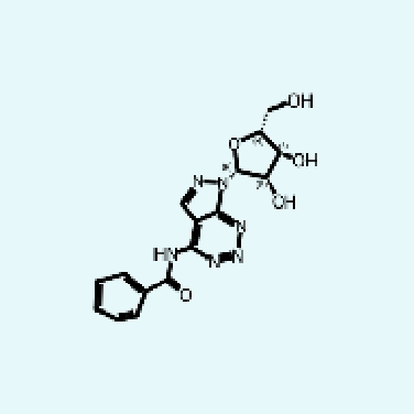 O=C(Nc1nnnc2c1cnn2[C@@H]1O[C@H](CO)[C@@H](O)[C@H]1O)c1ccccc1